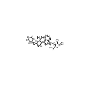 Nc1ncnc2c1c(-c1ccc(Oc3ccccc3)nc1)nn2C1CCCN(C(=O)CCl)C1